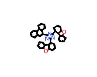 C1=CC2Oc3ccccc3C2C(c2nc(-c3cc4ccccc4c4ccccc34)nc(-c3cccc4oc5ccccc5c34)n2)=C1